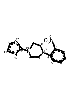 O=[N+]([O-])c1ccccc1N1CCN(c2nccs2)CC1